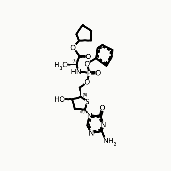 C[C@H](NP(=O)(OC[C@H]1S[C@@H](n2cnc(N)nc2=O)CC1O)Oc1ccccc1)C(=O)OC1CCCC1